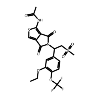 CCOc1cc(C(CS(C)(=O)=O)N2C(=O)c3csc(NC(C)=O)c3C2=O)ccc1OC(F)(F)F